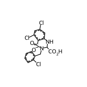 O=C(O)C1Nc2cc(Cl)cc(Cl)c2S(=O)(=O)N1Cc1ccccc1Cl